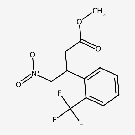 COC(=O)CC(C[N+](=O)[O-])c1ccccc1C(F)(F)F